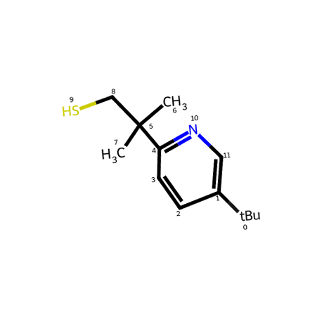 CC(C)(C)c1ccc(C(C)(C)CS)nc1